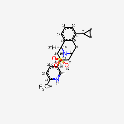 O=C1CC2Cc3c(C4CC4)cccc3[C@H](C1)N2S(=O)(=O)c1ccc(C(F)(F)F)nc1